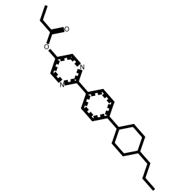 CCCC1CCC(c2ccc(-c3ncc(OC(=O)CC)cn3)cc2)CC1